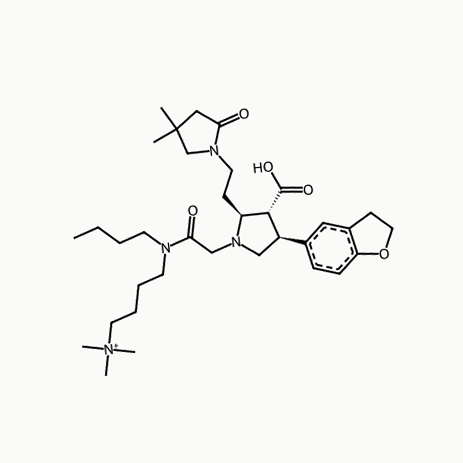 CCCCN(CCCC[N+](C)(C)C)C(=O)CN1C[C@H](c2ccc3c(c2)CCO3)[C@@H](C(=O)O)[C@@H]1CCN1CC(C)(C)CC1=O